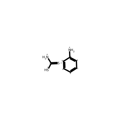 NC(=S)S.Nc1ccccc1